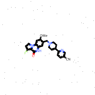 COc1cc2c(cc1CN1CC=C(c3ccc(C#N)cn3)CC1)[nH]c(=O)c1c(F)ccn12